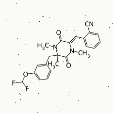 CN1C(=O)C(C)(Cc2cccc(OC(F)F)c2)N(C)C(=O)C1=Cc1ccccc1C#N